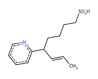 CC=CC(CCCCS(=O)(=O)O)c1ccccn1